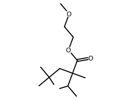 COCCOC(=O)C(C)(CC(C)(C)C)C(C)C